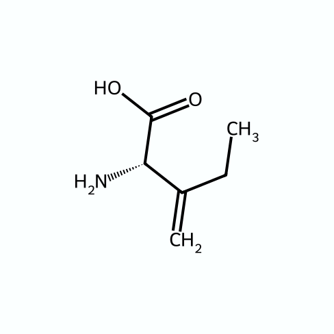 C=C(CC)[C@H](N)C(=O)O